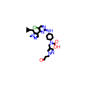 Cn1ncc(-c2nc(N[C@H]3CC[C@H](N(Cc4cnn(CCC=O)c4)C(=O)O)CC3)ncc2Cl)c1CC1CC1